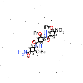 CC(C)COc1cc(C(N)=O)ccc1NC(=O)c1ccc(NC(=O)c2ccc([N+](=O)[O-])c(OC(C)C)c2)c(OC(C)C)c1